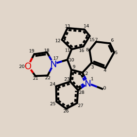 Cn1c(C2=CC=CCC2)c(C(c2ccccc2)N2C=COCC2)c2ccccc21